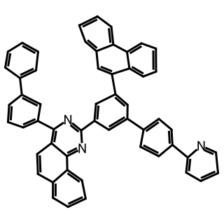 c1ccc(-c2cccc(-c3nc(-c4cc(-c5ccc(-c6ccccn6)cc5)cc(-c5cc6ccccc6c6ccccc56)c4)nc4c3ccc3ccccc34)c2)cc1